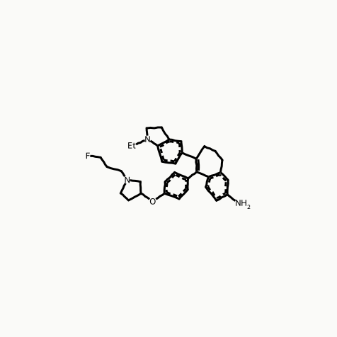 CCN1CCc2cc(C3=C(c4ccc(OC5CCN(CCCF)C5)cc4)c4ccc(N)cc4CCC3)ccc21